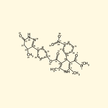 COC(=O)C1=C(C)NC(C)=C(C(=O)Oc2ccc(C3=NNC(=O)CC3C)cc2)C1c1cccc([N+](=O)[O-])c1